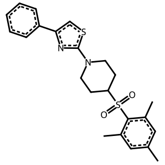 Cc1cc(C)c(S(=O)(=O)C2CCN(c3nc(-c4ccccc4)cs3)CC2)c(C)c1